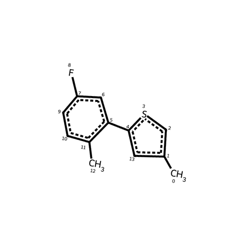 Cc1csc(-c2cc(F)ccc2C)c1